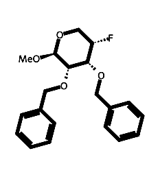 CO[C@H]1OC[C@H](F)[C@H](OCc2ccccc2)[C@@H]1OCc1ccccc1